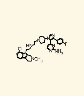 CN1CCc2c(n(CCNCCN3CCC(n4cnc(-c5ccc(F)cc5)c4-c4ccnc(N)n4)CC3)c3c(Cl)cccc23)C1